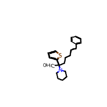 O=CC(CCCCCc1ccccc1)(c1cccs1)N1CCCCC1